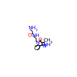 Cc1[nH]nc2c1c(=O)n(CCCNC(=O)CCN)c1ccccc21